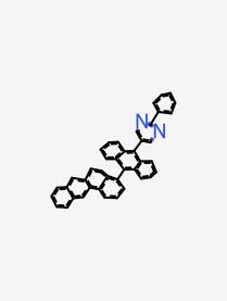 c1ccc(-c2ncc(-c3c4ccccc4c(-c4cccc5c4ccc4cc6ccccc6cc45)c4ccccc34)cn2)cc1